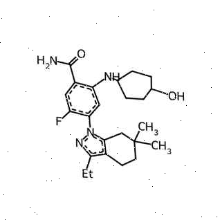 CCc1nn(-c2cc(NC3CCC(O)CC3)c(C(N)=O)cc2F)c2c1CCC(C)(C)C2